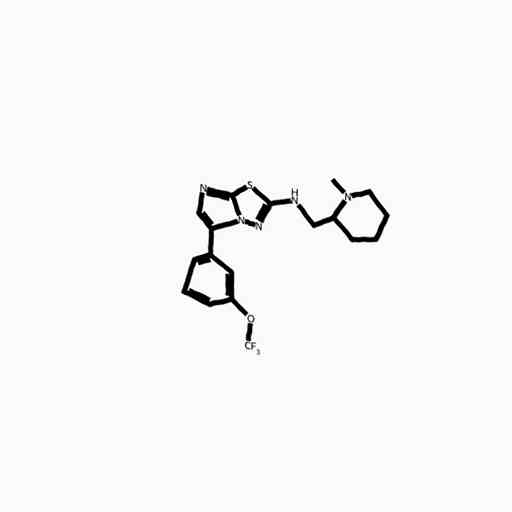 CN1CCCCC1CNc1nn2c(-c3cccc(OC(F)(F)F)c3)cnc2s1